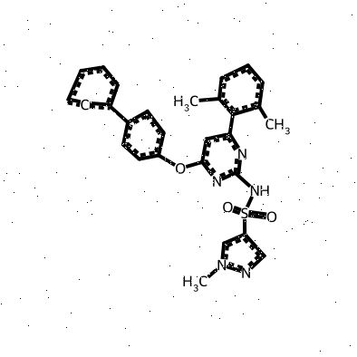 Cc1cccc(C)c1-c1cc(Oc2ccc(-c3ccccc3)cc2)nc(NS(=O)(=O)c2cnn(C)c2)n1